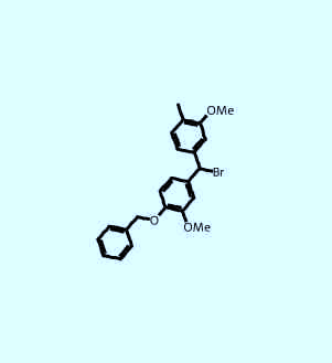 COc1cc(C(Br)c2ccc(OCc3ccccc3)c(OC)c2)ccc1C